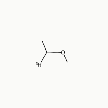 [3H]C(C)OC